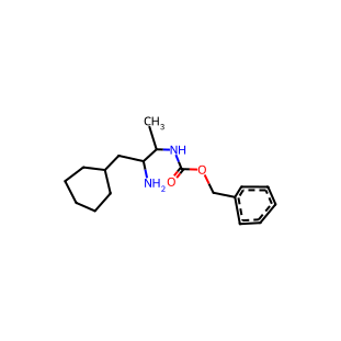 CC(NC(=O)OCc1ccccc1)C(N)CC1CCCCC1